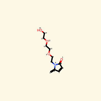 C=C1C=CC(=O)N1CCOCCOCCO